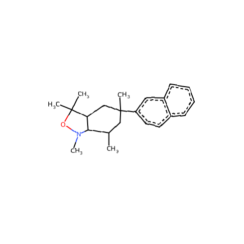 CC1CC(C)(c2ccc3ccccc3c2)CC2C1N(C)OC2(C)C